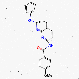 COc1ccc(C(=O)Nc2ccc3ccc(Nc4ccccc4)nc3n2)cc1